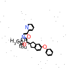 CC(C)(C)[Si](C)(C)OC(c1ncc(-c2ccccn2)o1)C1Cc2ccc(Oc3ccccc3)cc2C1